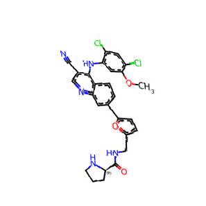 COc1cc(Nc2c(C#N)cnc3cc(-c4ccc(CNC(=O)[C@H]5CCCN5)o4)ccc23)c(Cl)cc1Cl